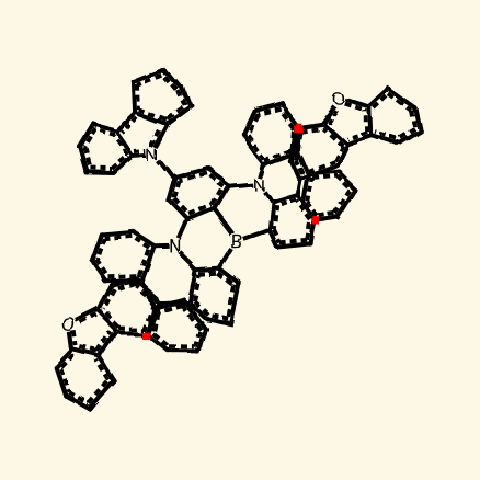 c1ccc(-c2ccccc2N2c3cc(-n4c5ccccc5c5ccccc54)cc4c3B(c3cccc(-c5ccc6oc7ccccc7c6c5)c32)c2cccc(-c3ccc5oc6ccccc6c5c3)c2N4c2ccccc2-c2ccccc2)cc1